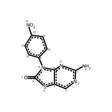 Nc1ncc2sc(=O)n(-c3ccc([N+](=O)[O-])cc3)c2n1